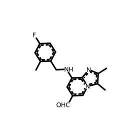 Cc1cc(F)ccc1CNc1cc(C=O)cn2c(C)c(C)nc12